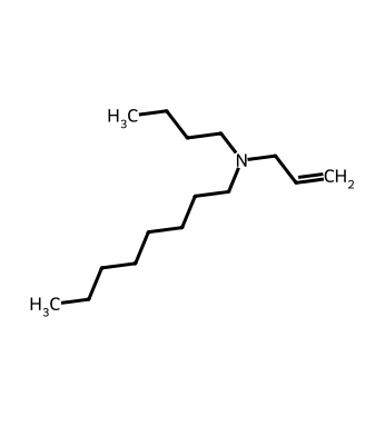 C=CCN(CCCC)CCCCCCCC